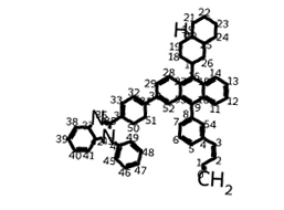 C=C/C=C\c1cccc(-c2c3ccccc3c(C3CC[C@H]4CCCCC4C3)c3ccc(C4=CC=C(C5=NC6C=CC=CC6N5c5ccccc5)CC4)cc23)c1